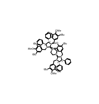 COc1c(C(C)(C)C)cc(CN2C(=[N+]3CC[N+](=C4N(Cc5cc(C(C)(C)C)c(OC)c(C(C)(C)C)c5)[C@@H](c5ccccc5)[C@H](c5ccccc5)N4Cc4cc(C(C)(C)C)c(OC)c(C(C)(C)C)c4)CC3)N(Cc3cc(C(C)(C)C)c(OC)c(C(C)(C)C)c3)[C@@H](c3ccccc3)[C@@H]2c2ccccc2)cc1C(C)(C)C